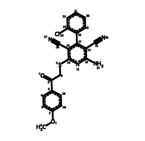 COc1ccc(C(=O)CSc2nc(N)c(C#N)c(-c3ccccc3Cl)c2C#N)cc1